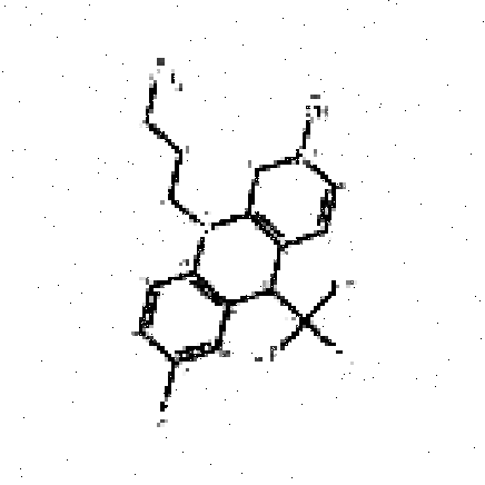 CCCCN1C2=C(C=CN(C)C2)C(C(F)(F)F)c2cc(F)ccc21